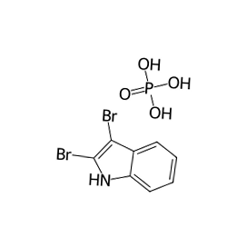 Brc1[nH]c2ccccc2c1Br.O=P(O)(O)O